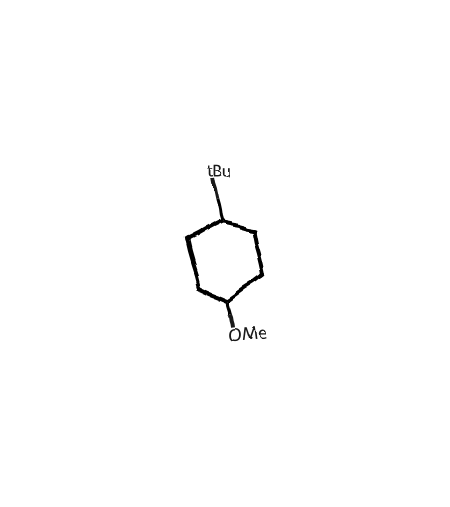 COC1CCC(C(C)(C)C)CC1